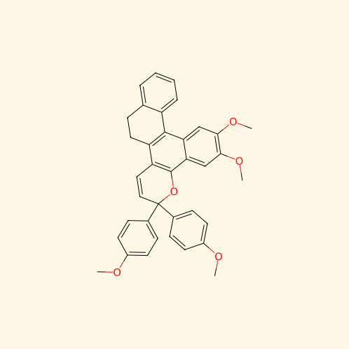 COc1ccc(C2(c3ccc(OC)cc3)C=Cc3c4c(c5cc(OC)c(OC)cc5c3O2)-c2ccccc2CC4)cc1